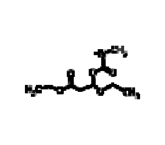 CCOC(=O)CC(OCC)OC(=O)NC